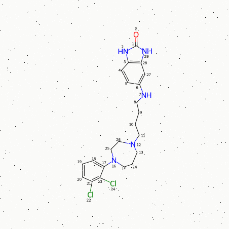 O=c1[nH]c2ccc(NCCCCN3CCCN(c4cccc(Cl)c4Cl)CC3)cc2[nH]1